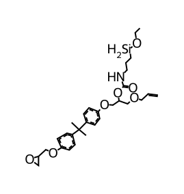 C=CCOCC(COc1ccc(C(C)(C)c2ccc(OCC3CO3)cc2)cc1)OC(=O)NCCC[SiH2]OCC